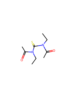 CCN(C(C)=O)C(=S)N(CC)C(C)=O